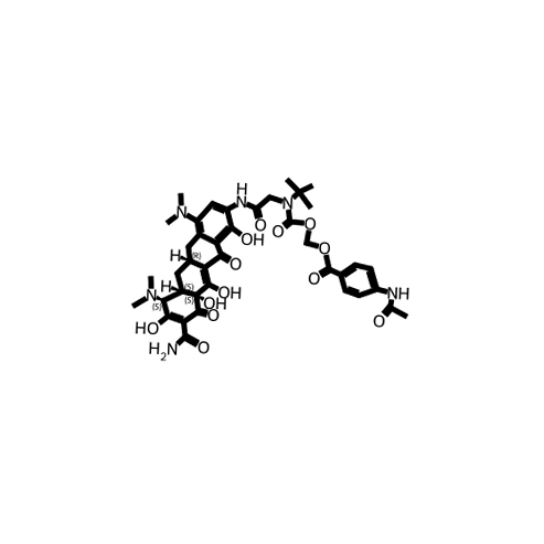 CC(=O)Nc1ccc(C(=O)OCOC(=O)N(CC(=O)Nc2cc(N(C)C)c3c(c2O)C(=O)C2=C(O)[C@]4(O)C(=O)C(C(N)=O)=C(O)[C@@H](N(C)C)[C@@H]4C[C@@H]2C3)C(C)(C)C)cc1